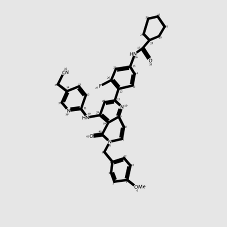 COc1ccc(Cn2ccc3nc(-c4ccc(NC(=O)C5CCCCC5)cc4F)cc(Nc4ccc(CC#N)cn4)c3c2=O)cc1